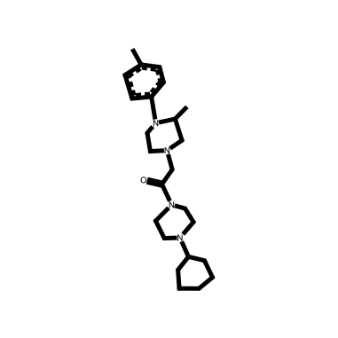 Cc1ccc(N2CCN(CC(=O)N3CCN(C4CCCCC4)CC3)CC2C)cc1